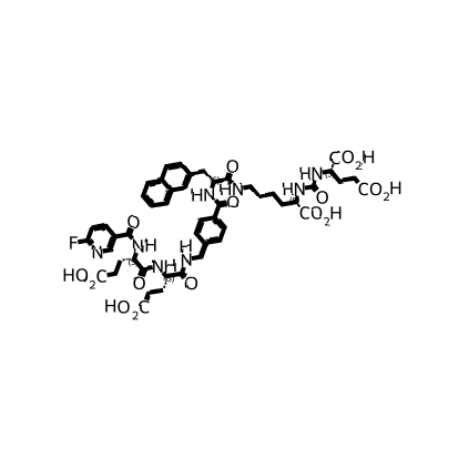 O=C(O)CC[C@H](NC(=O)N[C@@H](CCCCNC(=O)[C@H](Cc1ccc2ccccc2c1)NC(=O)c1ccc(CNC(=O)[C@H](CCC(=O)O)NC(=O)[C@H](CCC(=O)O)NC(=O)c2ccc(F)nc2)cc1)C(=O)O)C(=O)O